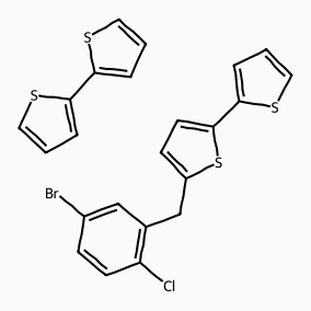 Clc1ccc(Br)cc1Cc1ccc(-c2cccs2)s1.c1csc(-c2cccs2)c1